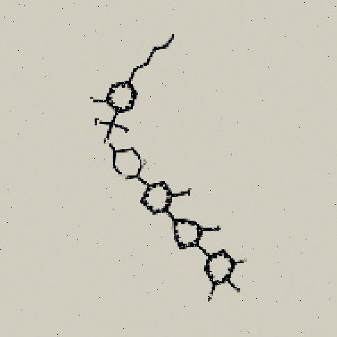 CCCCCc1ccc(C(F)(F)OC2COC(c3ccc(-c4ccc(-c5cc(F)c(F)c(F)c5)c(F)c4)c(F)c3)OC2)c(F)c1